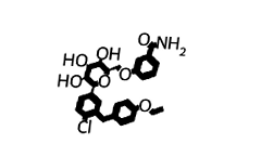 CCOc1ccc(Cc2cc([C@@H]3O[C@H](COc4cccc(C(N)=O)c4)[C@H](O)[C@@H](O)[C@H]3O)ccc2Cl)cc1